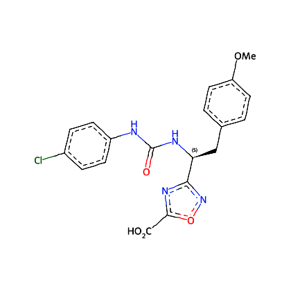 COc1ccc(C[C@H](NC(=O)Nc2ccc(Cl)cc2)c2noc(C(=O)O)n2)cc1